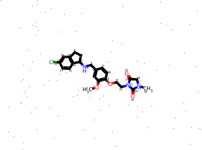 COc1cc(CNC2CCc3cc(Cl)ccc32)ccc1OCCN1C(=O)CN(C)C1=O